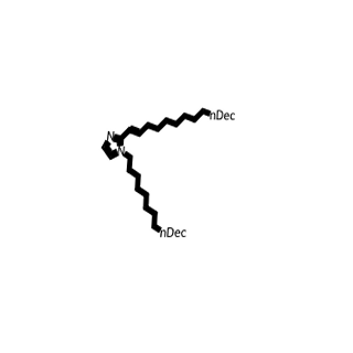 CCCCCCCCCCCCCCCCCC=Cc1nccn1CCCCCCCCCCCCCCCCCC